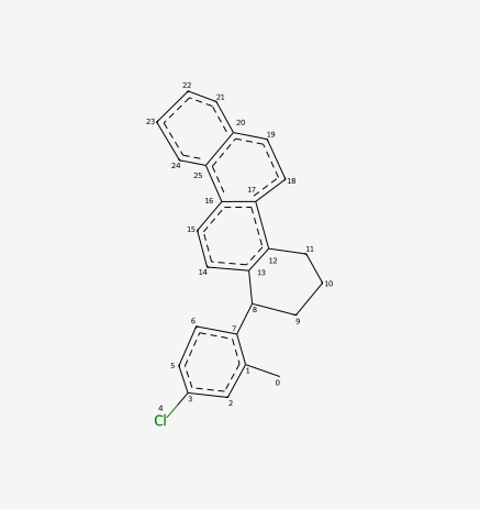 Cc1cc(Cl)ccc1C1CCCc2c1ccc1c2ccc2ccccc21